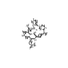 C[C@@H](c1ncnn1-c1ncc(C(F)F)s1)N(C)c1ncnc2c(OC(F)F)cc(Cl)cc12